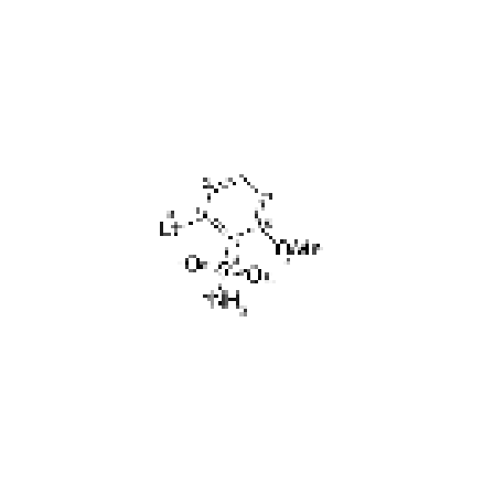 CCc1cccc(OC)c1S(N)(=O)=O